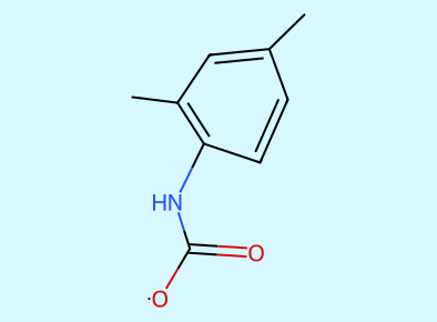 Cc1ccc(NC([O])=O)c(C)c1